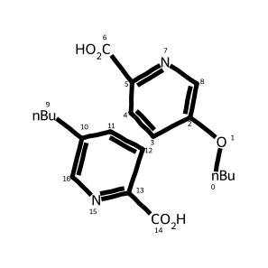 CCCCOc1ccc(C(=O)O)nc1.CCCCc1ccc(C(=O)O)nc1